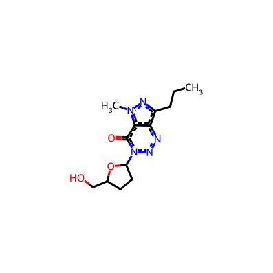 CCCc1nn(C)c2c(=O)n(C3CCC(CO)O3)nnc12